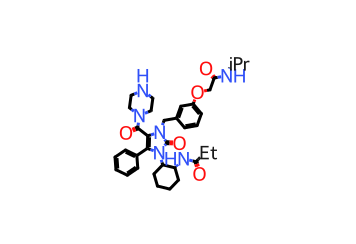 CCC(=O)N[C@H]1CCCCC1n1c(-c2ccccc2)c(C(=O)N2CCNCC2)n(Cc2cccc(OCC(=O)NC(C)C)c2)c1=O